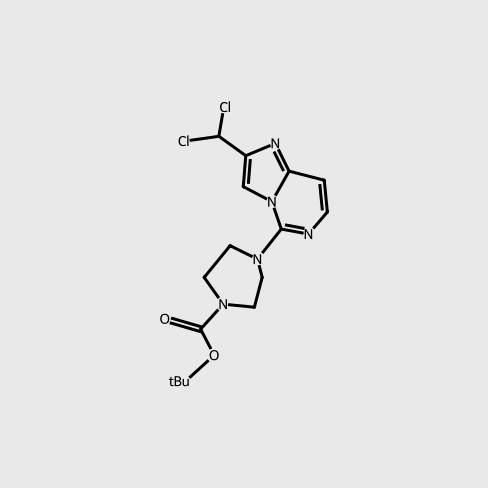 CC(C)(C)OC(=O)N1CCN(c2nccc3nc(C(Cl)Cl)cn23)CC1